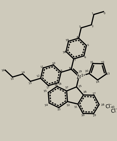 CCCCc1ccc([C](c2ccc(CCCC)cc2)=[Zr+2]([C]2=CC=CC2)[CH]2c3ccccc3-c3ccccc32)cc1.[Cl-].[Cl-]